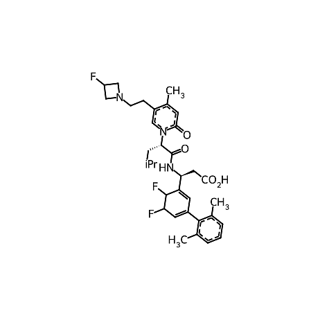 Cc1cc(=O)n([C@@H](CC(C)C)C(=O)N[C@@H](CC(=O)O)C2=CC(c3c(C)cccc3C)=CC(F)C2F)cc1CCN1CC(F)C1